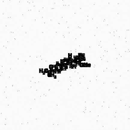 COc1cc(-c2[nH]c3cnc(N4CCN(CC(=O)N(C)C)CC4)c(F)c3c2C(C)C)cn2ncnc12